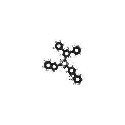 c1ccc(-c2cc(-c3ccccc3)cc(-c3nc(-c4ccc5ccccc5c4)nc(-c4ccc5c(c4)oc4ccccc45)n3)c2)cc1